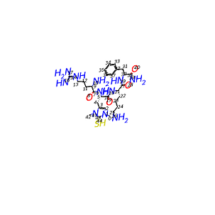 CN1C=C(C[C@H](NC(=O)C(N)CCCNC(=N)N)C(=O)N[C@@H](CCCCN)C(=O)N[C@@H](Cc2ccccc2)C(N)=O)N(C)C1S